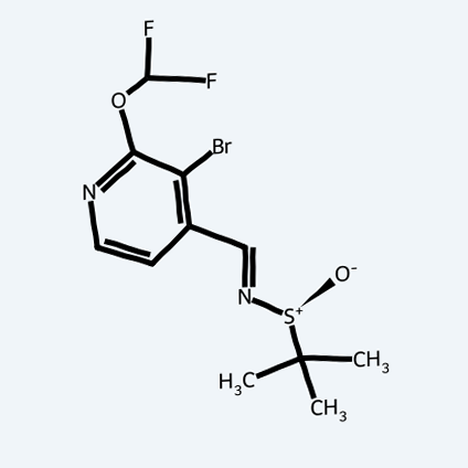 CC(C)(C)[S@+]([O-])N=Cc1ccnc(OC(F)F)c1Br